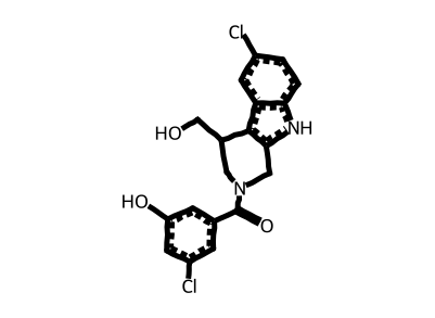 O=C(c1cc(O)cc(Cl)c1)N1Cc2[nH]c3ccc(Cl)cc3c2C(CO)C1